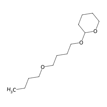 CCCCOCCCCOC1CCCCO1